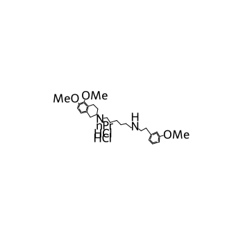 CCCN(CCCCCCNCCc1cccc(OC)c1)C1CCc2c(ccc(OC)c2OC)C1.Cl.Cl